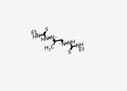 CCNC(=S)N/N=C/C(C)=N/NC(=S)NCC